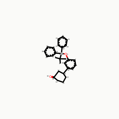 CC(C)(C)[Si](Oc1cccc(C2CCCC(=O)C2)c1)(c1ccccc1)c1ccccc1